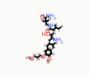 CCC(C)[C@H](C[C@H](O)[C@@H](N)C[C@H](Cc1ccc(OC)c(OCCCOC)c1)C(C)C)C(=O)NCC(C)(C)C(N)=O